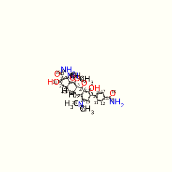 COC1=C2C(=O)c3c(O)c(-c4ccc(C(N)=O)cc4)cc(N(C)C)c3C[C@H]2C[C@H]2CC(O)=C(C(N)=O)C(=N)[C@@]12OC